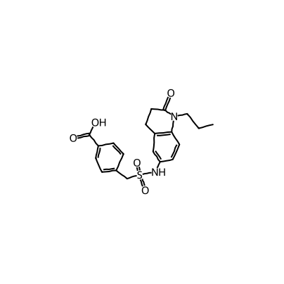 CCCN1C(=O)CCc2cc(NS(=O)(=O)Cc3ccc(C(=O)O)cc3)ccc21